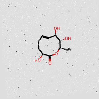 CCC[C@H]1OC(=O)[C@@H](O)CC/C=C/[C@@H](O)[C@@H]1O